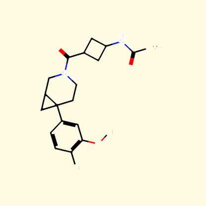 COC(=O)NC1CC(C(=O)N2CCC3(c4ccc(C)c(OC(F)(F)F)c4)CC3C2)C1